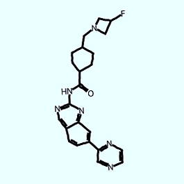 O=C(Nc1ncc2ccc(-c3cnccn3)cc2n1)C1CCC(CN2CC(F)C2)CC1